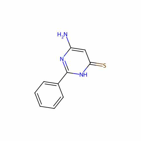 Nc1cc(=S)[nH]c(-c2ccccc2)n1